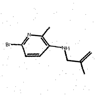 C=C(C)CNc1ccc(Br)nc1C